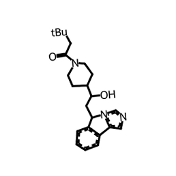 CC(C)(C)CC(=O)N1CCC(C(O)CC2c3ccccc3-c3cncn32)CC1